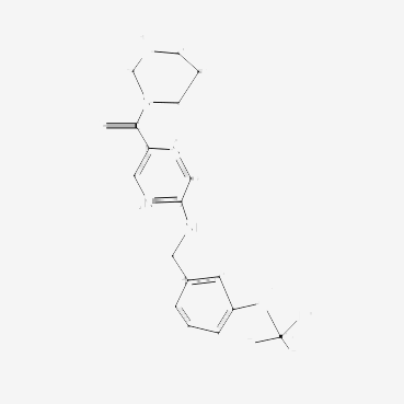 O=C(c1cnc(NCc2cccc(OC(F)(F)F)c2)cn1)N1CCCOC1